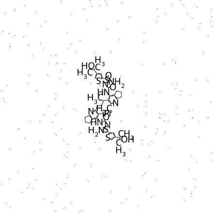 Cc1nc2c(c(NC(=O)N=S(N)(=O)c3cc(C(C)(C)O)cs3)c1C(C)CCc1nc3c(c(NC(=O)/N=S(\N)c4cc(C(C)(C)O)cs4)c1C(C)C)CCC3)CCC2